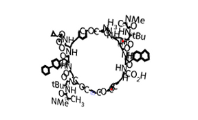 CN[C@@H](C)C(=O)N[C@H](C(=O)N1CC2CC1C(=O)N[C@@H](Cc1ccc(-c3ccccc3)cc1)C(=O)NC(C(=O)NS(=O)(=O)C1CC1)Cc1ccc(cc1)OCc1cn(nn1)[C@H]1C[C@@H](C(=O)N[C@@H](Cc3ccc4ccccc4c3)C(=O)N[C@H](C(=O)O)Cc3ccc(cc3)OC/C=C/CO2)N(C(=O)[C@@H](NC(=O)[C@H](C)NC)C(C)(C)C)C1)C(C)(C)C